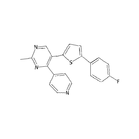 Cc1ncc(-c2ccc(-c3ccc(F)cc3)s2)c(-c2ccncc2)n1